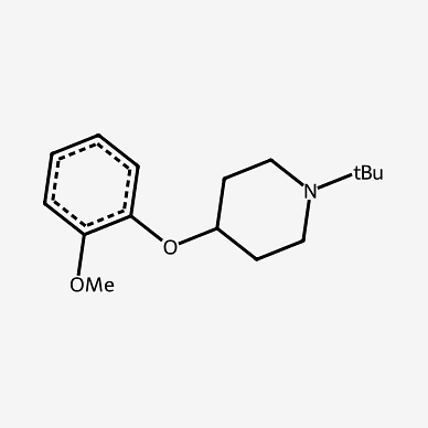 COc1ccccc1OC1CCN(C(C)(C)C)CC1